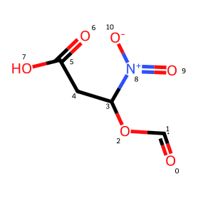 O=[C]OC(CC(=O)O)[N+](=O)[O-]